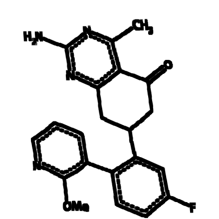 COc1ncccc1-c1ccc(F)cc1C1CC(=O)c2c(C)nc(N)nc2C1